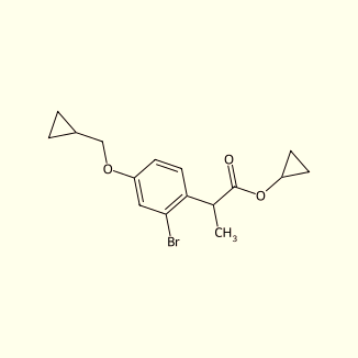 CC(C(=O)OC1CC1)c1ccc(OCC2CC2)cc1Br